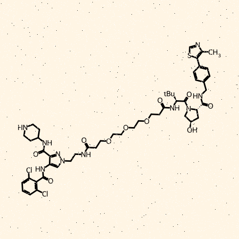 Cc1ncsc1-c1ccc(CNC(=O)[C@@H]2C[C@@H](O)CN2C(=O)[C@@H](NC(=O)CCOCCOCCOCCC(=O)NCCn2cc(NC(=O)c3c(Cl)cccc3Cl)c(C(=O)NC3CCNCC3)n2)C(C)(C)C)cc1